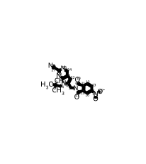 CC(C)(C)Cn1c(CN2C(=O)c3ccc([N+](=O)[O-])cc3C2=O)cc2cnc(C#N)nc21